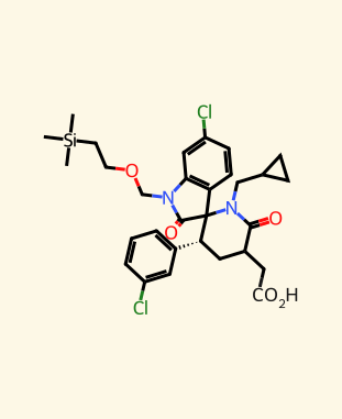 C[Si](C)(C)CCOCN1C(=O)C2(c3ccc(Cl)cc31)[C@@H](c1cccc(Cl)c1)CC(CC(=O)O)C(=O)N2CC1CC1